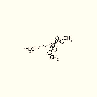 [CH2]CCCCCCCCCC[C](OOC(=O)c1cccc(C)c1)OOC(=O)c1cccc(C)c1